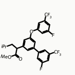 COC(=O)C(CC(C)C)c1cc(Oc2cc(F)cc(C(F)(F)F)c2)cc(-c2cc(F)cc(C(F)(F)F)c2)c1